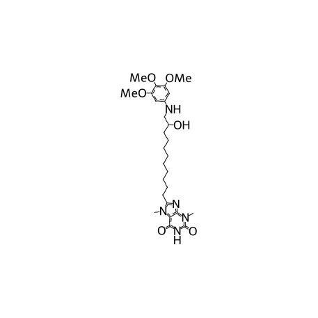 COc1cc(NCC(O)CCCCCCCCCc2nc3c(c(=O)[nH]c(=O)n3C)n2C)cc(OC)c1OC